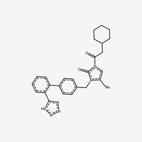 CCC(C)c1cn(C(=O)CC2CCCCC2)c(=O)n1Cc1ccc(-c2ccccc2-c2nnn[nH]2)cc1